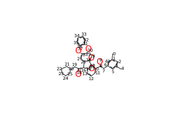 Cc1cc(C)cc(CC(=O)C2C3C=CC4(O3)C(C(=O)CC3CCCCC3)C(CC3COc5ccccc5O3)C(=O)C24)c1